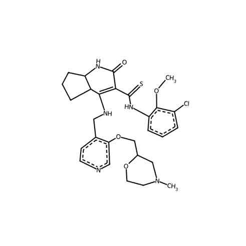 COc1c(Cl)cccc1NC(=S)C1=C(NCc2ccncc2OCC2CN(C)CCO2)C2CCCC2NC1=O